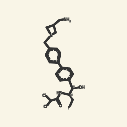 NCC1CN(Cc2ccc(-c3ccc([C@@H](O)[C@@H](CF)NC(=O)C(Cl)Cl)cc3)cc2)C1